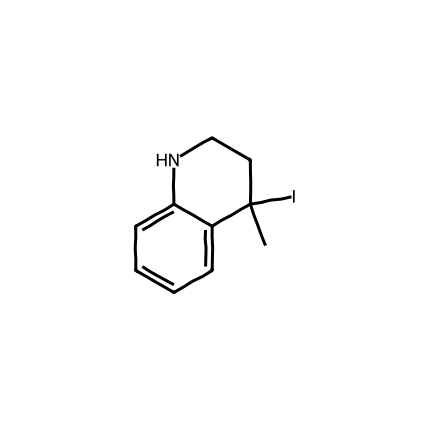 CC1(I)CCNc2ccccc21